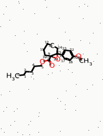 CCCCCCOC(=O)C12CCCCCC1(c1ccc(OC)cc1)O2